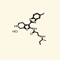 CC[C@H](C)NCCC(=O)Nc1sc2c(c1-c1nc3cc(F)ccc3s1)CCNC2.Cl